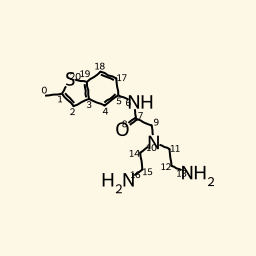 Cc1cc2cc(NC(=O)CN(CCN)CCN)ccc2s1